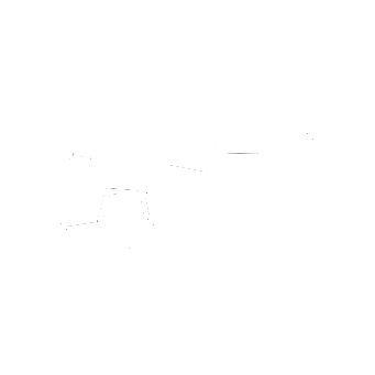 CNc1c(N)cnn1CCOCCN